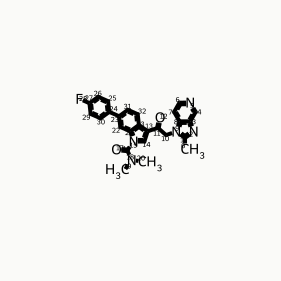 Cc1nc2cnccc2n1CC(=O)c1cn(C(=O)N(C)C)c2cc(-c3ccc(F)cc3)ccc12